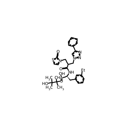 CCc1cccc(C[C@H](NC(=O)C(Cn2cc(-c3ccccc3)nn2)Cn2ccsc2=O)B(O)OC(C)(C)C(C)(C)O)c1